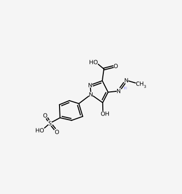 C/N=N/c1c(C(=O)O)nn(-c2ccc(S(=O)(=O)O)cc2)c1O